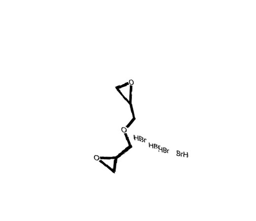 Br.Br.Br.Br.C(OCC1CO1)C1CO1